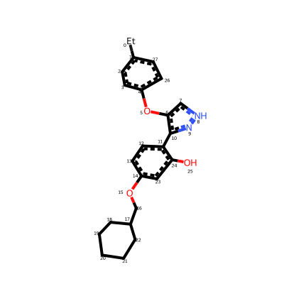 CCc1ccc(Oc2c[nH]nc2-c2ccc(OCC3CCCCC3)cc2O)cc1